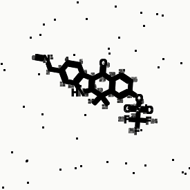 C=NCc1ccc2c3c([nH]c2c1)C(C)(C)c1cc(OS(=O)(=O)C(F)(F)F)ccc1C3=O